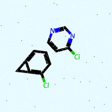 Clc1cccc2c1C2.Clc1ccncn1